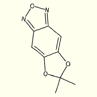 CC1(C)Oc2cc3nonc3cc2O1